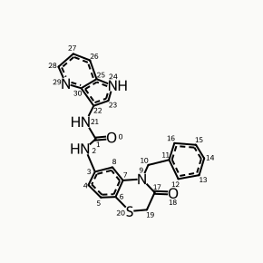 O=C(Nc1ccc2c(c1)N(Cc1ccccc1)C(=O)CS2)Nc1c[nH]c2cccnc12